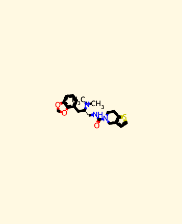 CN(C)[C@H](CNC(=O)N1CCc2sccc2C1)Cc1cccc2c1OCO2